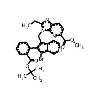 CCc1nc2ccc(C(=O)OC)nc2n1Cc1c2ccocc-2c(Br)c1-c1ccccc1C(=O)OC(C)(C)C